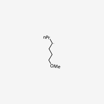 CCC[CH]CCCOC